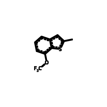 Cc1cc2cccc(OC(F)(F)F)c2s1